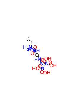 N[C@H](CCCc1ccccc1)C(=O)NNC(=O)c1ccc(CNC(=O)CN(CCN(CC(=O)O)CC(=O)O)CCN(CC(=O)O)CC(=O)O)cc1